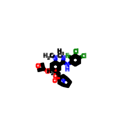 C=CC(=O)N1C2CCC1CC(Oc1cc(/C(=N\C)Nc3ccc(Cl)c(Cl)c3F)c(N=C)cc1OC1COC1)C2